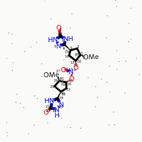 CO[C@@H]1C[C@H](c2n[nH]c(=O)[nH]2)C[C@@H]1O[N+](=O)O[C@H]1C[C@@H](c2n[nH]c(=O)[nH]2)C[C@H]1OC